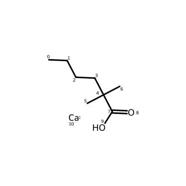 CCCCC(C)(C)C(=O)O.[Ca]